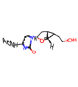 CC(=O)Nc1ccn([C@H]2CC3C(CCO)[C@@H]3O2)c(=O)n1